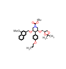 C=CCOc1ccc(C2C(OC[C@H]3COC(C)(C)O3)CN(C(=O)OC(C)(C)C)C[C@@H]2OCc2cc(OC)c3ccccc3c2)cc1